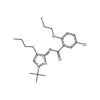 CCCCc1cn(C(C)(C)C)s/c1=N\C(=O)c1cc(Cl)ccc1OCCF